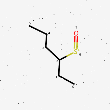 [CH2]CC(CCC)[S+]=O